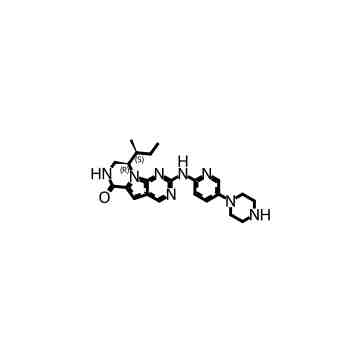 CC[C@H](C)[C@@H]1CNC(=O)c2cc3cnc(Nc4ccc(N5CCNCC5)cn4)nc3n21